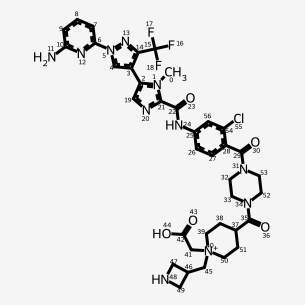 Cn1c(-c2cn(-c3cccc(N)n3)nc2C(F)(F)F)cnc1C(=O)Nc1ccc(C(=O)N2CCN(C(=O)C3CC[N+](CC(=O)O)(CC4CNC4)CC3)CC2)c(Cl)c1